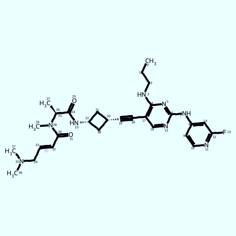 CCCNc1nc(Nc2ccnc(F)c2)ncc1C#C[C@H]1C[C@@H](NC(=O)[C@H](C)N(C)C(=O)/C=C/CN(C)C)C1